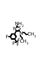 CCCN(CCC)c1sc(N)nc1-c1cc(F)cc(C(F)(F)F)c1